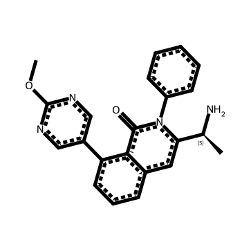 COc1ncc(-c2cccc3cc([C@H](C)N)n(-c4ccccc4)c(=O)c23)cn1